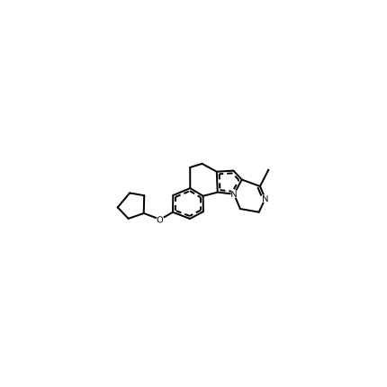 CC1=NCCn2c1cc1c2-c2ccc(OC3CCCC3)cc2CC1